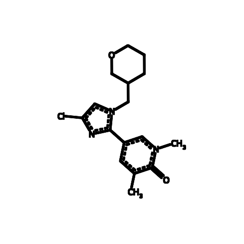 Cc1cc(-c2nc(Cl)cn2CC2CCCOC2)cn(C)c1=O